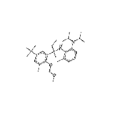 CCC(C)(Pc1c(C)cccc1N(C(C)C)C(C)C)c1cc(C(C)(C)C)cc(C)c1OCOC